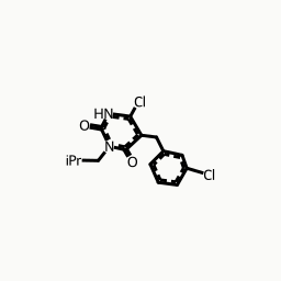 CC(C)Cn1c(=O)[nH]c(Cl)c(Cc2cccc(Cl)c2)c1=O